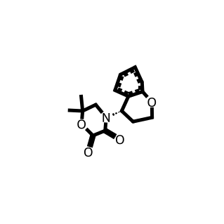 CC1(C)CN([C@H]2CCOc3ccccc32)C(=O)C(=O)O1